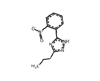 CCCc1n[nH]c(-c2ccccc2[N+](=O)[O-])n1